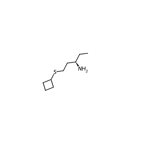 CC[C@@H](N)CCSC1CCC1